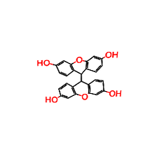 Oc1ccc2c(c1)Oc1cc(O)ccc1C2C1c2ccc(O)cc2Oc2cc(O)ccc21